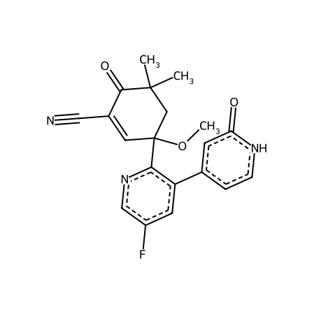 COC1(c2ncc(F)cc2-c2cc[nH]c(=O)c2)C=C(C#N)C(=O)C(C)(C)C1